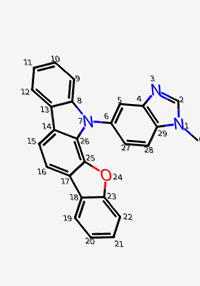 Cn1cnc2cc(-n3c4ccccc4c4ccc5c6ccccc6oc5c43)ccc21